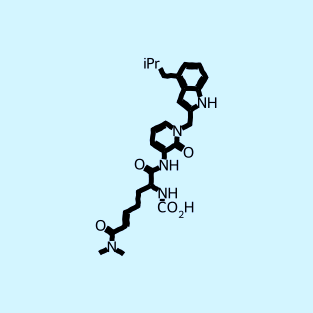 CC(C)Cc1cccc2[nH]c(Cn3cccc(NC(=O)C(CCC=CC(=O)N(C)C)NC(=O)O)c3=O)cc12